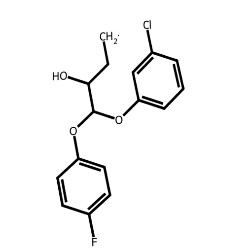 [CH2]CC(O)C(Oc1ccc(F)cc1)Oc1cccc(Cl)c1